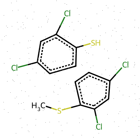 CSc1ccc(Cl)cc1Cl.Sc1ccc(Cl)cc1Cl